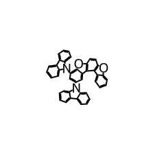 c1ccc2c(c1)oc1ccc3oc4c(-n5c6ccccc6c6ccccc65)cc(-n5c6ccccc6c6ccccc65)cc4c3c12